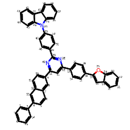 c1ccc(-c2ccc3cc(-c4cc(-c5ccc(-c6cc7ccccc7o6)cc5)nc(-c5ccc(-n6c7ccccc7c7ccccc76)cc5)n4)ccc3c2)cc1